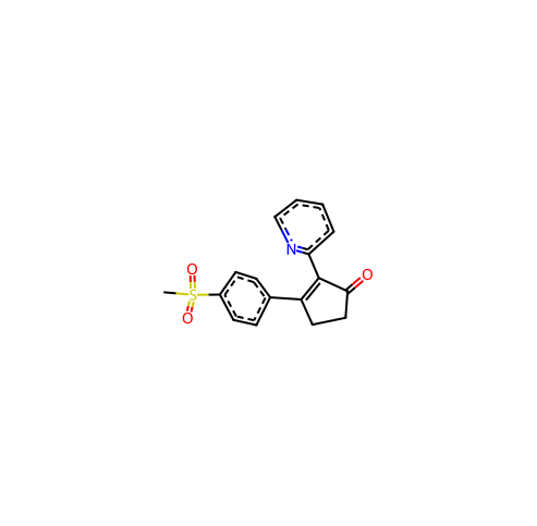 CS(=O)(=O)c1ccc(C2=C(c3ccccn3)C(=O)CC2)cc1